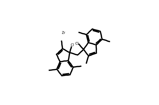 CC1=Cc2c(C)ccc(C)c2C1(Cl)CC1(Cl)C(C)=Cc2c(C)ccc(C)c21.[Zr]